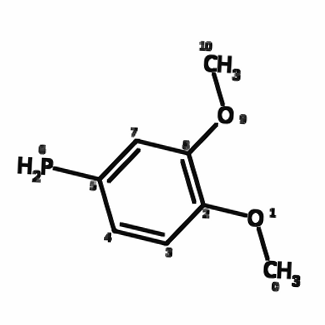 COc1ccc(P)cc1OC